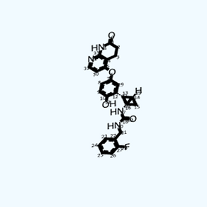 O=C1CCc2c(Oc3ccc(O)c([C@@H]4[C@@H]5C[C@@]45NC(=O)NCc4ccccc4F)c3)ccnc2N1